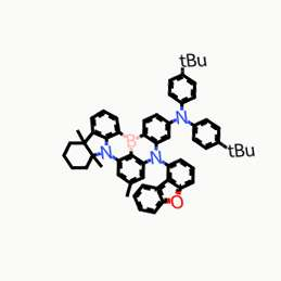 Cc1cc2c3c(c1)N1c4c(cccc4C4(C)CCCCC14C)B3c1ccc(N(c3ccc(C(C)(C)C)cc3)c3ccc(C(C)(C)C)cc3)cc1N2c1cccc2oc3ccccc3c12